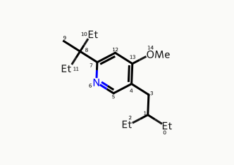 CCC(CC)Cc1cnc(C(C)(CC)CC)cc1OC